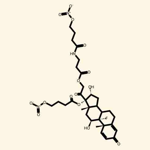 C[C@]12C=CC(=O)C=C1CCC1C3C[C@@H](O)[C@](OC(=O)CCCO[N+](=O)[O-])(C(=O)COC(=O)CCNC(=O)CCCO[N+](=O)[O-])[C@@]3(C)C[C@H](O)[C@@]12F